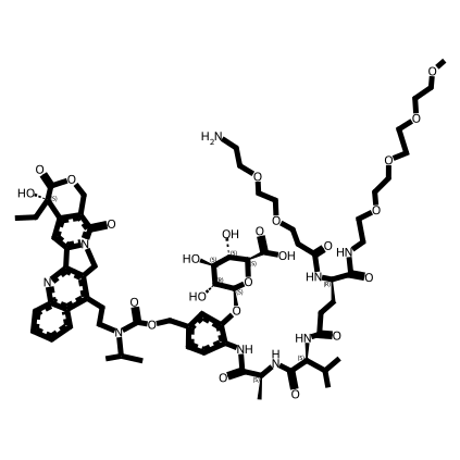 CC[C@@]1(O)C(=O)OCc2c1cc1n(c2=O)Cc2c-1nc1ccccc1c2CCN(C(=O)OCc1ccc(NC(=O)[C@H](C)NC(=O)[C@@H](NC(=O)CC[C@@H](NC(=O)CCOCCOCCN)C(=O)NCCOCCOCCOCCOC)C(C)C)c(O[C@@H]2O[C@H](C(=O)O)[C@@H](O)[C@H](O)[C@H]2O)c1)C(C)C